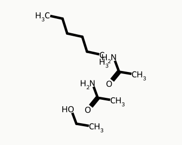 CC(N)=O.CC(N)=O.CCCCCC.CCO